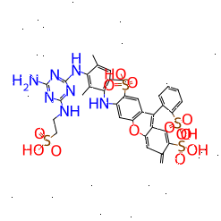 C=c1cc2c(cc1S(=O)(=O)O)=C(c1ccccc1S(=O)(=O)O)c1cc(S(=O)(=O)O)c(Nc3c(C)cc(C)c(Nc4nc(N)nc(NCCS(=O)(=O)O)n4)c3C)cc1O2